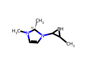 CC1BC1N1C=CN(C)[C@@H]1C